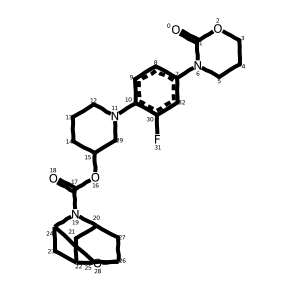 O=C1OCCCN1c1ccc(N2CCCC(OC(=O)N3C4CC5CC3CC(C4)O5)C2)c(F)c1